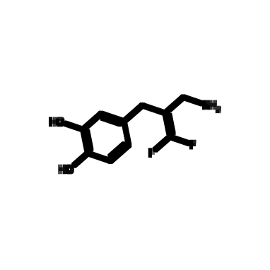 NCC(Cc1ccc(O)c(O)c1)=C(F)F